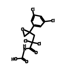 O=C(O)NC(=O)C(Cl)(Cl)CC1(c2cc(Cl)cc(Cl)c2)CO1